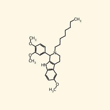 CCCCCCCCN1CCc2c([nH]c3ccc(OC)cc23)C1c1ccc(OC)c(OC)c1